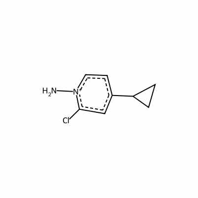 N[n+]1ccc(C2CC2)cc1Cl